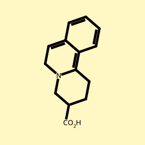 O=C(O)C1CCC2=c3ccccc3=CCN2C1